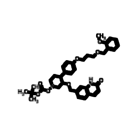 COc1ccccc1COCCCOc1ccc(C2CCN(OC(=O)OC(C)(C)C)CC2OCc2ccc3ccc(=O)[nH]c3c2)cc1